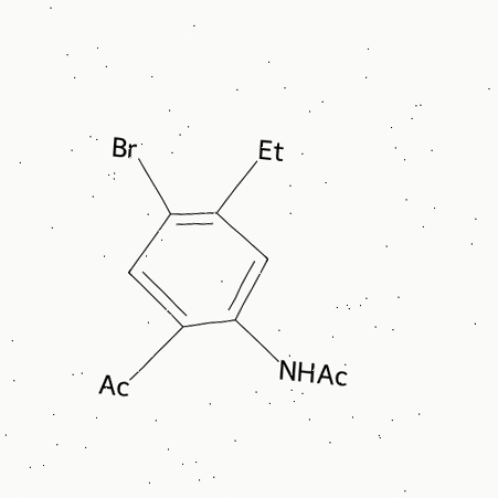 CCc1cc(NC(C)=O)c(C(C)=O)cc1Br